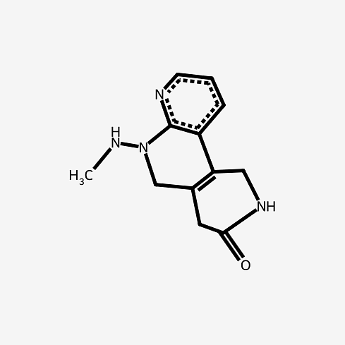 CNN1CC2=C(CNC(=O)C2)c2cccnc21